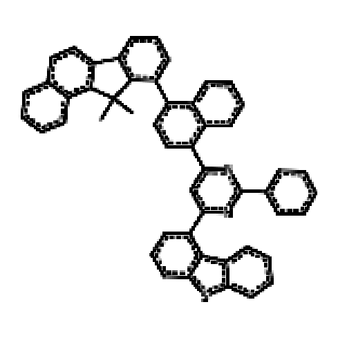 CC1(C)c2c(cccc2-c2ccc(-c3cc(-c4cccc5sc6ccccc6c45)nc(-c4ccccc4)n3)c3ccccc23)-c2ccc3ccccc3c21